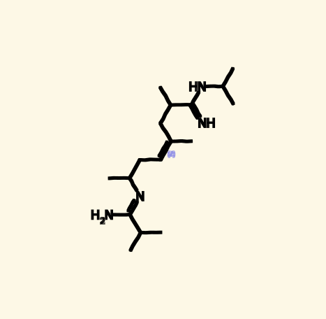 C/C(=C/CC(C)N=C(N)C(C)C)CC(C)C(=N)NC(C)C